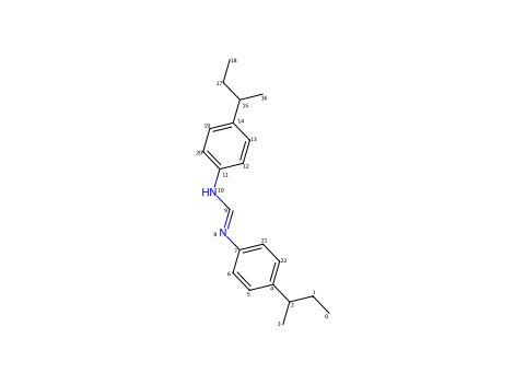 CCC(C)c1ccc(N=CNc2ccc(C(C)CC)cc2)cc1